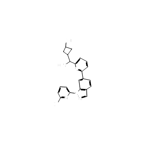 CCc1cccc(-n2ncc3ccc(-c4cccc(C(N)C5CC(O)C5)n4)cc32)n1